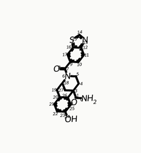 NC(=O)C12CCN(C(=O)c3ccc4ncsc4c3)C(Cc3ccc(O)cc31)C2